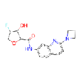 O=C(Nc1ccc2ccc(N3CCC3)nc2c1)C1OCC(F)C1O